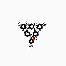 CSc1cc2c3c(c1)Oc1ccccc1B3c1cc3c(cc1N2)Oc1cc(SC)cc2c1B3c1cc3c(cc1O2)Oc1cc(SC)cc2c1B3c1ccccc1O2